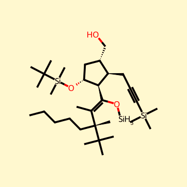 CCCCC[C@](C)(C(C)=C(O[SiH3])[C@@H]1[C@H](CC#C[Si](C)(C)C)[C@@H](CO)C[C@H]1O[Si](C)(C)C(C)(C)C)C(C)(C)C